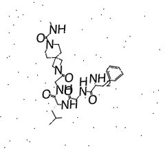 CNC(=O)N1CCC2(CC1)CN(C(=O)CNC(=O)[C@@H](CC(C)C)NC(=O)CNC(=O)[C@H](N)Cc1ccccc1)C2